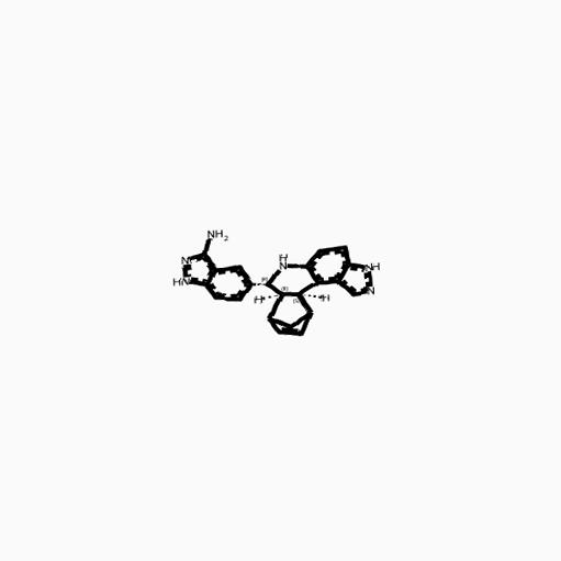 Nc1n[nH]c2ccc([C@@H]3Nc4ccc5[nH]ncc5c4[C@H]4C5C=CC(C5)[C@@H]34)cc12